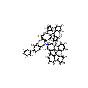 c1ccc(-c2ccc(N(c3ccc4c(c3)-c3ccccc3C43c4ccccc4-c4ccccc43)c3ccc4c(c3)C3(c5ccccc5Oc5ccccc53)c3ccccc3-4)cc2)cc1